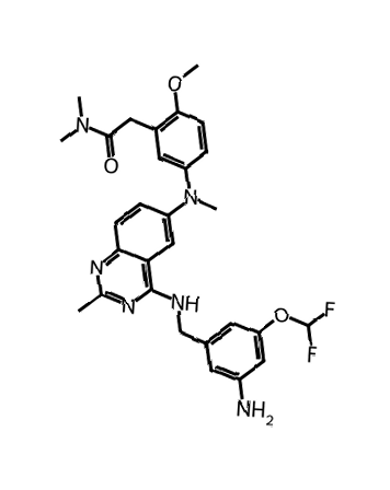 COc1ccc(N(C)c2ccc3nc(C)nc(NCc4cc(N)cc(OC(F)F)c4)c3c2)cc1CC(=O)N(C)C